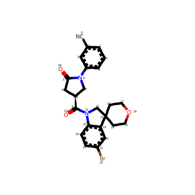 N#Cc1cccc(N2C[C@@H](C(=O)N3CC4(CCOCC4)c4cc(Br)ccc43)CC2=O)c1